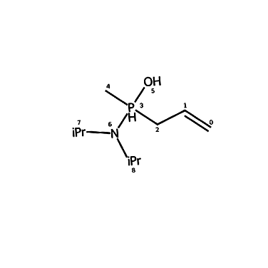 C=CC[PH](C)(O)N(C(C)C)C(C)C